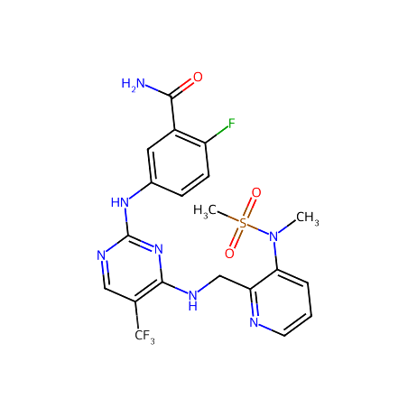 CN(c1cccnc1CNc1nc(Nc2ccc(F)c(C(N)=O)c2)ncc1C(F)(F)F)S(C)(=O)=O